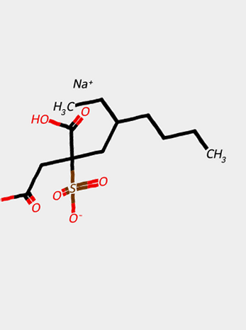 CCCCC(CC)CC(CC(=O)O)(C(=O)O)S(=O)(=O)[O-].[Na+]